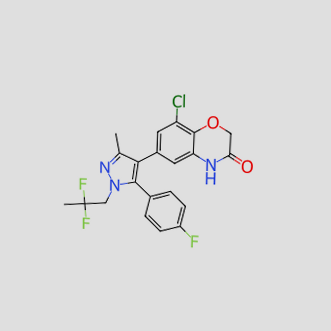 Cc1nn(CC(C)(F)F)c(-c2ccc(F)cc2)c1-c1cc(Cl)c2c(c1)NC(=O)CO2